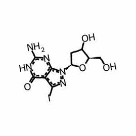 Nc1nc2c(c(I)nn2[C@H]2CC(O)[C@@H](CO)O2)c(=O)[nH]1